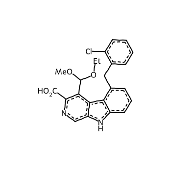 CCOC(OC)c1c(C(=O)O)ncc2[nH]c3cccc(Cc4ccccc4Cl)c3c12